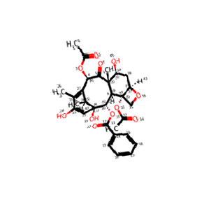 CC(=O)O[C@H]1C(=O)[C@@]2(C)[C@H]([C@H](OC(=O)c3ccccc3)[C@]3(O)C=C(O)C(C)=C1[C@@H]3C)[C@]1(OC(C)=O)CO[C@@H]1C[C@@H]2O